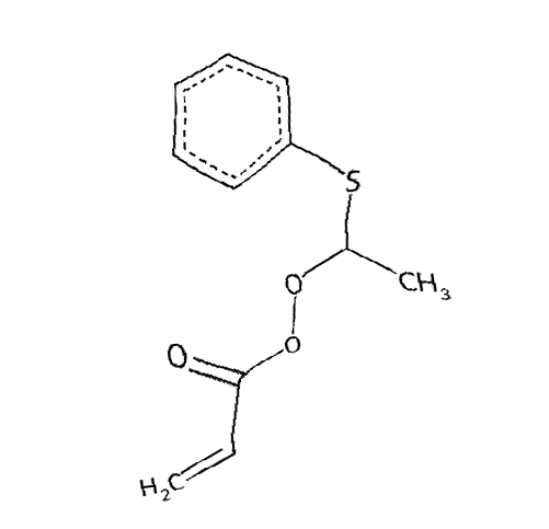 C=CC(=O)OOC(C)Sc1ccccc1